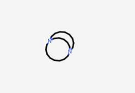 C1CCCCN2CCCCCCCCN(CCC1)CCCCC2